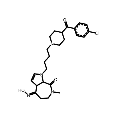 CN1CC/C(=N/O)C2C=CN(CCCCN3CCC(C(=O)c4ccc(Cl)cc4)CC3)C2C1=O